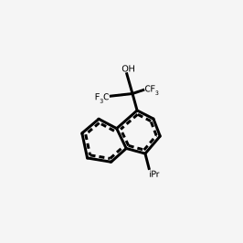 CC(C)c1ccc(C(O)(C(F)(F)F)C(F)(F)F)c2ccccc12